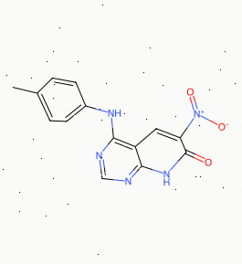 Cc1ccc(Nc2ncnc3[nH]c(=O)c([N+](=O)[O-])cc23)cc1